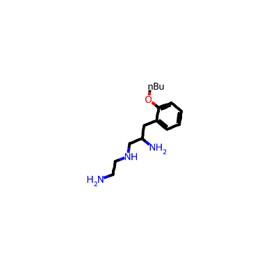 CCCCOc1ccccc1CC(N)CNCCN